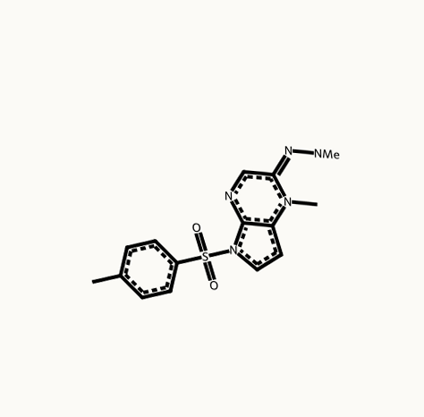 CN/N=c1/cnc2c(ccn2S(=O)(=O)c2ccc(C)cc2)n1C